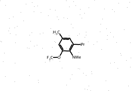 CNc1c(OC(F)(F)F)cc(C)cc1C(C)C